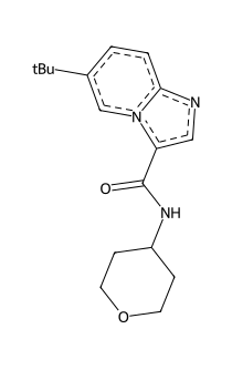 CC(C)(C)c1ccc2ncc(C(=O)NC3CCOCC3)n2c1